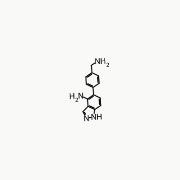 NCc1ccc(-c2ccc3[nH]ncc3c2N)cc1